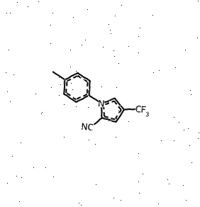 Cc1ccc(-n2cc(C(F)(F)F)cc2C#N)cc1